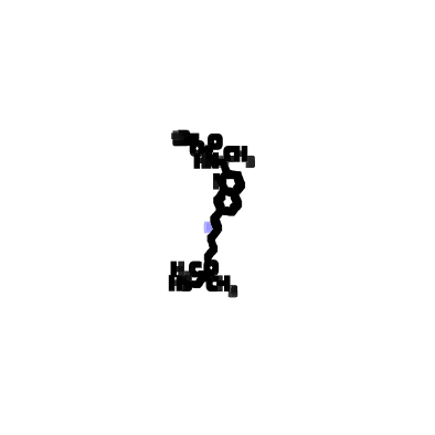 C[C@@H](NC(=O)OC(C)(C)C)c1ccc2ccc(/C=C/CCCOC(C)(C)CS)cc2n1